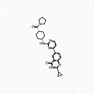 O=c1[nH]c(C2CC2)nc2ccc(-c3ccnc(N[C@H]4CC[C@@H](C(=O)N5CCCC5)CC4)n3)cc12